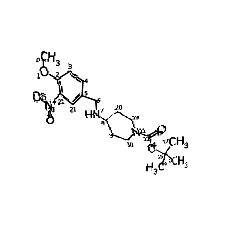 COc1ccc(CNC2CCN(C(=O)OC(C)(C)C)CC2)cc1[N+](=O)[O-]